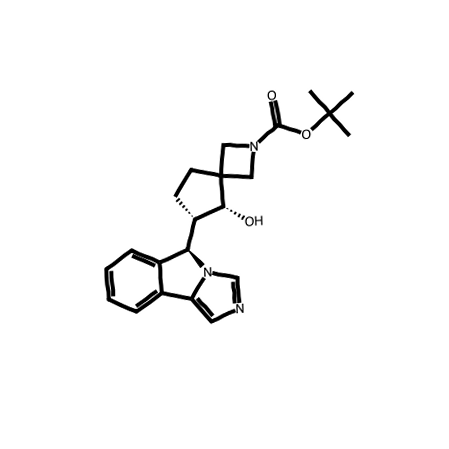 CC(C)(C)OC(=O)N1CC2(CC[C@@H]([C@@H]3c4ccccc4-c4cncn43)[C@H]2O)C1